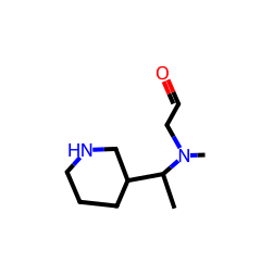 CC(C1CCCNC1)N(C)CC=O